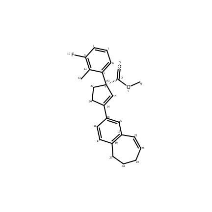 COC(=O)[C@]1(c2cccc(F)c2C)C=C(c2ccc3c(c2)C=CCCC3)CC1